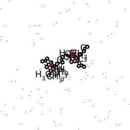 CC(C)(C)c1cc(-c2cccc3cccc(-c4ccccc4N(c4ccc(-c5cccc6c5oc5ccc(CC(C)(C)c7cc(-c8cccc9cccc(-c%10ccccc%10N(c%10ccc(-c%11ccc%12c(c%11)oc%11ccccc%11%12)cc%10)c%10ccc(-c%11cccc%12c%11sc%11ccccc%11%12)cc%10)c89)cc(C(C)(C)C)c7)cc56)cc4)c4ccc(-c5cccc6c5sc5ccccc56)cc4)c23)cc(C(C)(C)C)c1